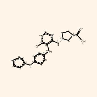 O=C(O)N1CC[C@@H](Nc2ncnc(Cl)c2Nc2ccc(Oc3ccccc3)cc2)C1